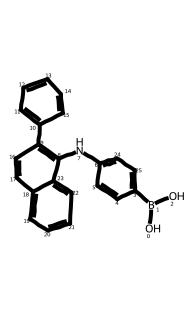 OB(O)c1ccc(Nc2c(-c3ccccc3)ccc3ccccc23)cc1